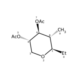 CC[C@H]1OC[C@H](OC(C)=O)[C@@H](OC(C)=O)[C@@H]1C